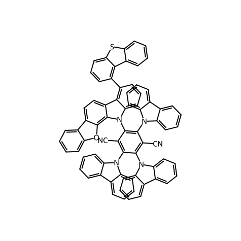 N#Cc1c(-n2c3ccccc3c3ccccc32)c(-n2c3ccccc3c3ccccc32)c(C#N)c(-n2c3cccc(-c4cccc5sc6ccccc6c45)c3c3ccc4c5ccccc5oc4c32)c1-n1c2ccccc2c2ccccc21